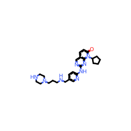 O=c1ccc2cnc(Nc3ccc(CNCCCN4CCNCC4)cn3)nc2n1C1CCCC1